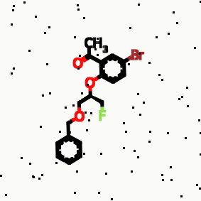 CC(=O)c1cc(Br)ccc1O[C@@H](CF)COCc1ccccc1